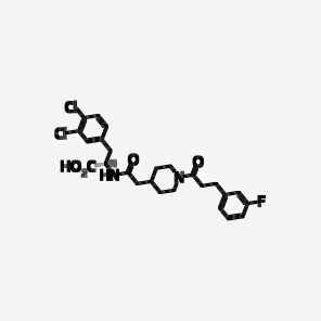 O=C(CC1CCN(C(=O)CCc2cccc(F)c2)CC1)N[C@@H](Cc1ccc(Cl)c(Cl)c1)C(=O)O